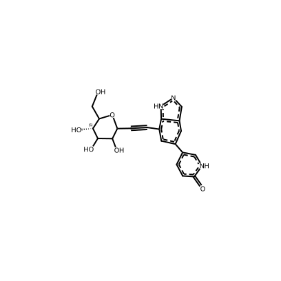 O=c1ccc(-c2cc(C#CC3OC(CO)[C@@H](O)C(O)C3O)c3[nH]ncc3c2)c[nH]1